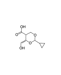 O=C(O)C1COC(C2CC2)OC1=CO